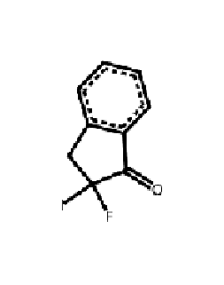 O=C1c2ccccc2CC1(F)I